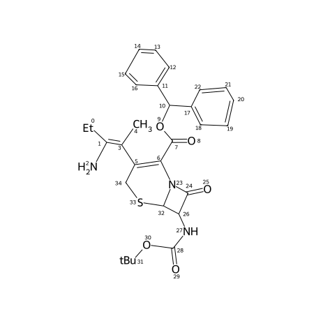 CCC(N)=C(C)C1=C(C(=O)OC(c2ccccc2)c2ccccc2)N2C(=O)C(NC(=O)OC(C)(C)C)C2SC1